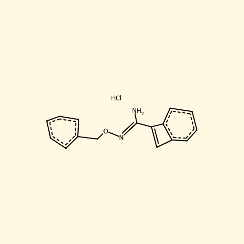 Cl.NC(=NOCc1ccccc1)C1=Cc2ccccc21